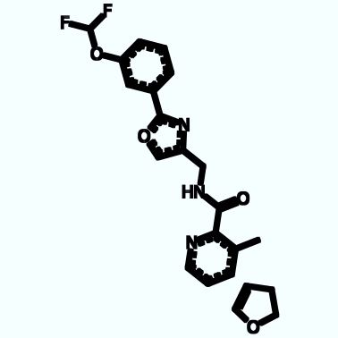 C1=COCC1.Cc1cccnc1C(=O)NCc1coc(-c2cccc(OC(F)F)c2)n1